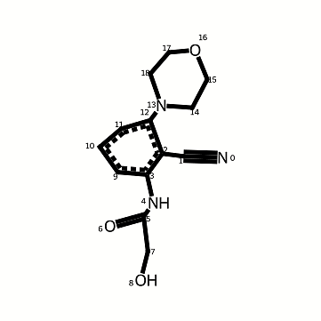 N#Cc1c(NC(=O)CO)cccc1N1CCOCC1